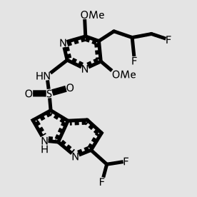 COc1nc(NS(=O)(=O)c2c[nH]c3nc(C(F)F)ccc23)nc(OC)c1CC(F)CF